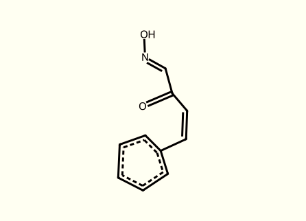 O=C(/C=C\c1ccccc1)/C=N/O